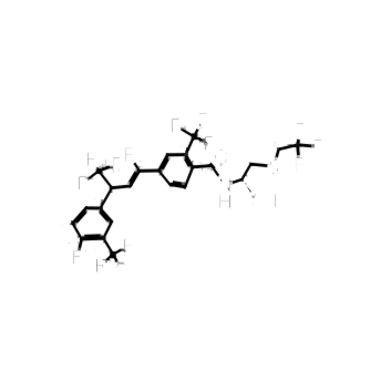 C[C@H](CSCC(F)(F)F)NC(=O)c1ccc(/C(F)=C/C(c2ccc(F)c(C(F)(F)F)c2)C(F)(F)F)cc1C(F)(F)F